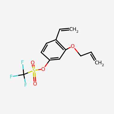 C=CCOc1cc(OS(=O)(=O)C(F)(F)F)ccc1C=C